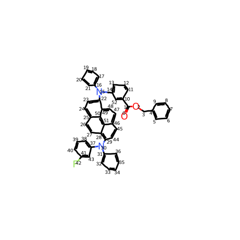 O=C(OCc1ccccc1)c1cccc(N(c2ccccc2)c2ccc3ccc4c(N(c5ccccc5)c5cccc(F)c5)ccc5ccc2c3c54)c1